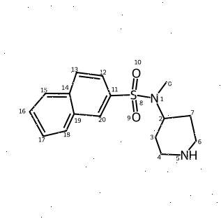 CN(C1CCNCC1)S(=O)(=O)c1ccc2ccccc2c1